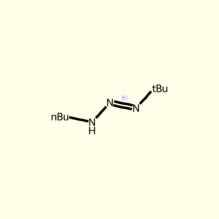 CCCCN/N=N/C(C)(C)C